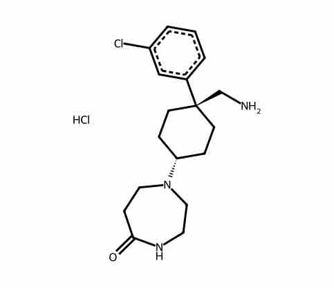 Cl.NC[C@]1(c2cccc(Cl)c2)CC[C@@H](N2CCNC(=O)CC2)CC1